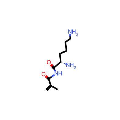 C=C(C)C(=O)NC(=O)[C@@H](N)CCCCN